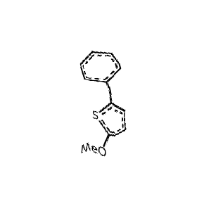 COc1ccc(-c2ccccc2)s1